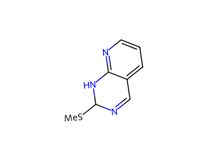 CSC1N=Cc2cccnc2N1